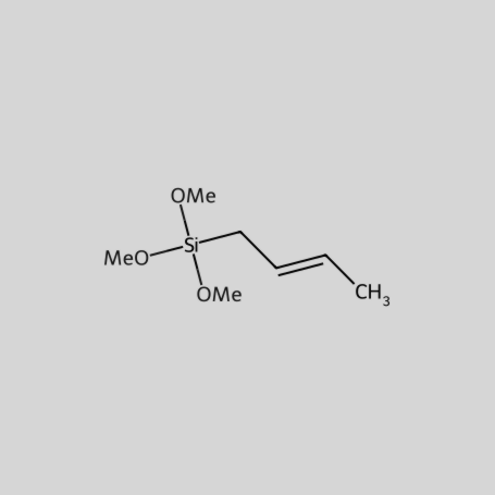 CC=CC[Si](OC)(OC)OC